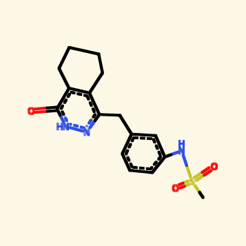 CS(=O)(=O)Nc1cccc(Cc2n[nH]c(=O)c3c2CCCC3)c1